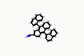 N#Cc1ccc2c(-c3cccc4ccccc34)c3ccccc3c(-c3cccc4ccccc34)c2c1